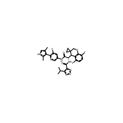 Cc1c[nH]c(C)c1-c1ncc(NC(=O)[C@@H](NC(=O)c2nonc2C(C)C)C2c3c(F)ccc(F)c3OCC23CC3)cc1F